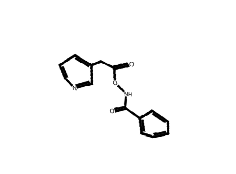 O=C(Cc1cccnc1)ONC(=O)c1ccccc1